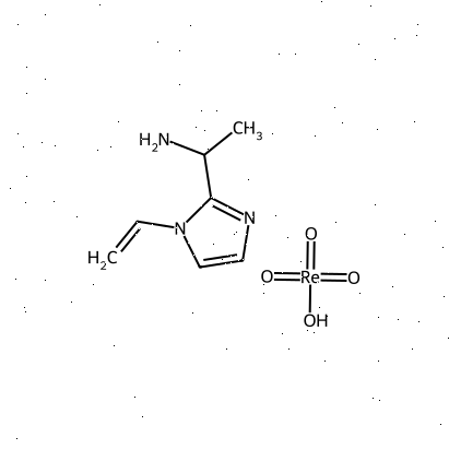 C=Cn1ccnc1C(C)N.[O]=[Re](=[O])(=[O])[OH]